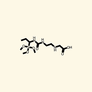 CCC(NC(=O)NCCNCC(=O)O)[Si](OC)(OC)OC